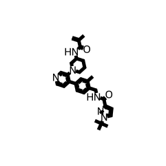 C=C(C)C(=O)NC1CCCN(c2cnccc2-c2ccc(CNC(=O)c3ccn(C(C)(C)C)n3)c(C)c2)C1